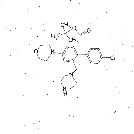 CC(C)(C)OC=O.Clc1ccc(-c2ccc(N3CCOCC3)cc2CN2CCNCC2)cc1